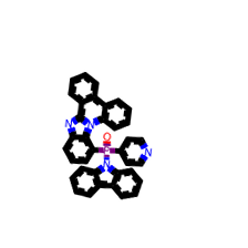 O=P(c1ccncc1)(c1cccc2nc3c4ccccc4c4ccccc4n3c12)n1c2ccccc2c2ccccc21